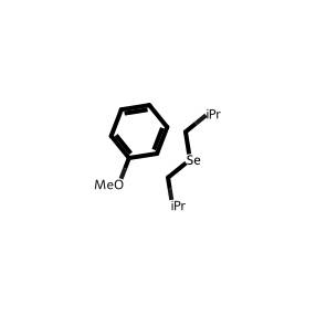 CC(C)C[Se]CC(C)C.COc1ccccc1